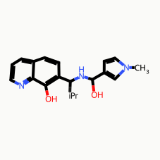 CC(C)C(NC(O)c1ccn(C)c1)c1ccc2cccnc2c1O